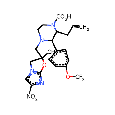 C=CCC1C(c2ccc(OC(F)(F)F)cc2)N(CC2(C)Cn3cc([N+](=O)[O-])nc3O2)CCN1C(=O)O